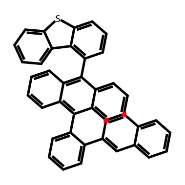 c1ccc(-c2c3ccccc3c(-c3cccc4sc5ccccc5c34)c3ccccc23)c(-c2ccc3ccccc3c2)c1